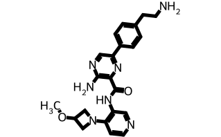 COC1CN(c2ccncc2NC(=O)c2nc(-c3ccc(CCN)cc3)cnc2N)C1